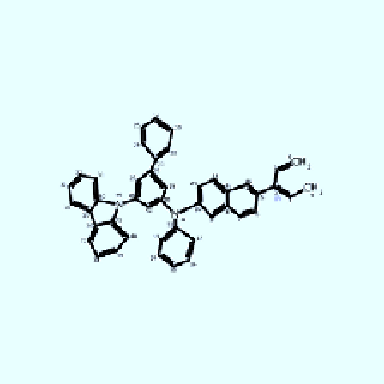 C=C/C(=C\C)c1ccc2cc(N(c3ccccc3)c3cc(-c4ccccc4)cc(-n4c5ccccc5c5ccccc54)c3)ccc2c1